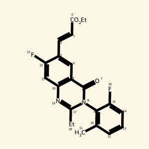 CCOC(=O)C=Cc1cc2c(=O)n(-c3c(C)cccc3F)c(CC)nc2cc1F